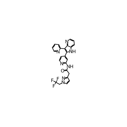 O=C(Cc1ccn(CC(F)(F)F)n1)Nc1cc(-c2[nH]c3cccnc3c2-c2ccccn2)ccn1